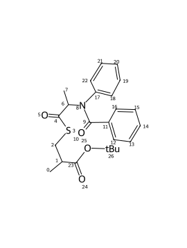 CC(CSC(=O)C(C)N(C(=O)c1ccccc1)c1ccccc1)C(=O)OC(C)(C)C